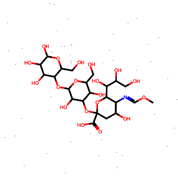 CO/C=N/C1C(O)CC(OC2C(O)C(CO)OC(OC3C(CO)OC(O)C(O)C3O)C2O)(C(=O)O)OC1C(O)C(O)CO